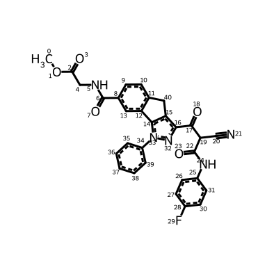 COC(=O)CNC(=O)c1ccc2c(c1)-c1c(c(C(=O)C(C#N)C(=O)Nc3ccc(F)cc3)nn1-c1ccccc1)C2